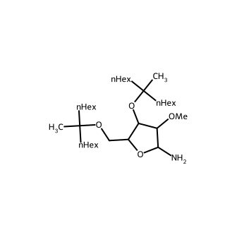 CCCCCCC(C)(CCCCCC)OCC1OC(N)C(OC)C1OC(C)(CCCCCC)CCCCCC